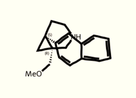 COC[C@@]12CNCC[C@]1(c1ccc3ccccc3c1)C2